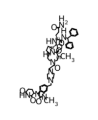 C[C@H]1CN(C(=O)CN2CCN(Cc3ccc4c(c3)n(C)c(=O)n4C3CCC(=O)NC3=O)CC2)CC[C@H]2CC[C@@H](C(=O)N[C@@H](CCC(N)=O)C(=O)NC(c3ccccc3)c3ccccc3)N2C1=O